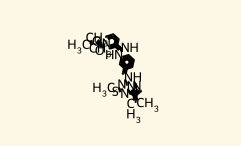 CSc1nc(NCc2cccc(NC(=N)C3CCCN(C(=O)OC(C)(C)C)C3)c2)n2ncc(C(C)C)c2n1